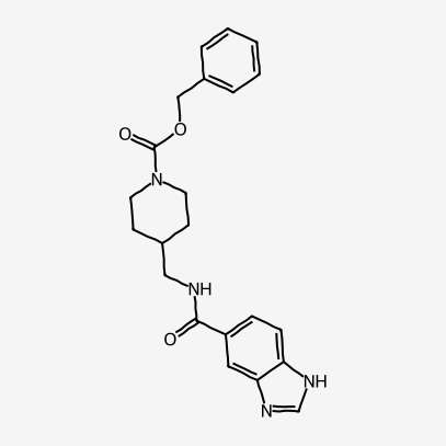 O=C(NCC1CCN(C(=O)OCc2ccccc2)CC1)c1ccc2[nH]cnc2c1